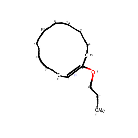 COCCO/C1=C/CCCCCCCCCC1